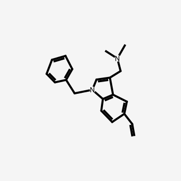 C=Cc1ccc2c(c1)c(CN(C)C)cn2Cc1ccccc1